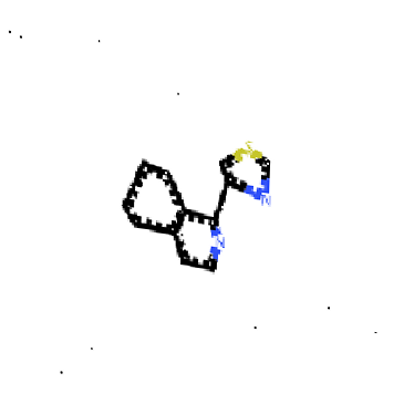 c1ccc2c(-c3cscn3)nccc2c1